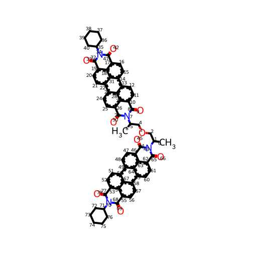 CC(COCC(C)N1C(=O)c2ccc3c4ccc5c6c(ccc(c7ccc(c2c37)C1=O)c64)C(=O)N(C1CCCCC1)C5=O)N1C(=O)c2ccc3c4ccc5c6c(ccc(c7ccc(c2c37)C1=O)c64)C(=O)N(C1CCCCC1)C5=O